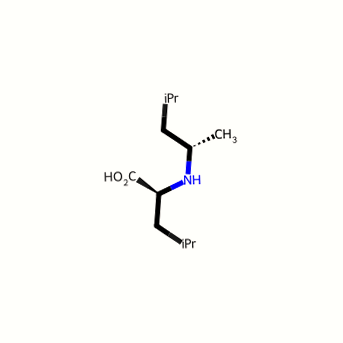 CC(C)C[C@H](N[C@@H](C)CC(C)C)C(=O)O